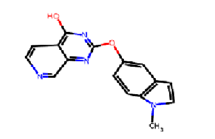 Cn1ccc2cc(Oc3nc(O)c4ccncc4n3)ccc21